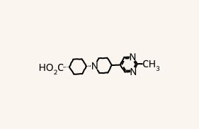 Cc1ncc(C2CCN([C@H]3CC[C@@H](C(=O)O)CC3)CC2)cn1